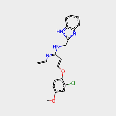 C=C/N=C(\C=C\Oc1ccc(OC)cc1Cl)NCc1nc2ccccc2[nH]1